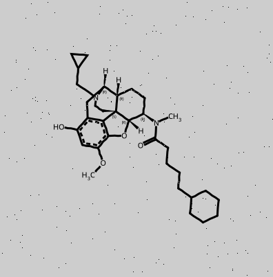 COc1cc(O)c2c3c1O[C@H]1[C@H](N(C)C(=O)CCCCC4CCCCC4)CC[C@H]4[C@@H](C2)N(CC2CC2)CC[C@@]341